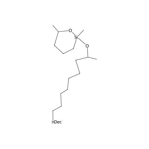 CCCCCCCCCCCCCCCCCC(C)O[Si]1(C)CCCC(C)O1